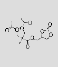 CC(=O)OCC(C)(COC(C)=O)C(=O)OCC1COC(=O)O1